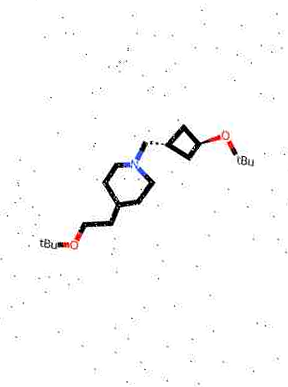 CC(C)(C)OCCC1CCN(C[C@H]2C[C@H](OC(C)(C)C)C2)CC1